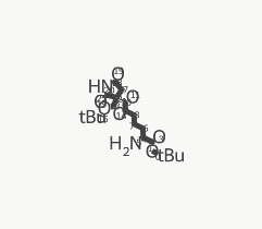 CC(C)(C)OC(=O)C(N)CCCCC(=O)[C@@]1(C(=O)OC(C)(C)C)CC(=O)NC1=O